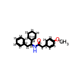 COc1ccc(CC(=O)NC(Cc2ccccc2)C2CCCCC2)cc1